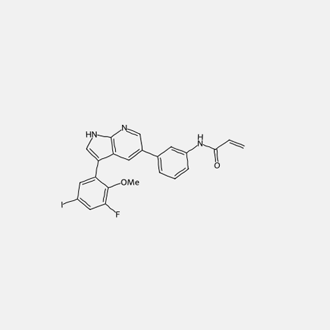 C=CC(=O)Nc1cccc(-c2cnc3[nH]cc(-c4cc(I)cc(F)c4OC)c3c2)c1